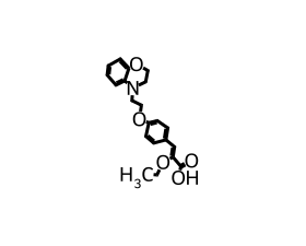 CCO/C(=C\c1ccc(OCCN2CCOc3ccccc32)cc1)C(=O)O